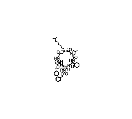 CC(C)CCCCCC[C@H]1OC(=O)CNC(=O)[C@H](C(C)OCc2ccccc2)NC(=O)[C@H](CNC(=O)OCc2ccccc2)NC(=O)[C@H](C2CCCCC2)NC(=O)[C@H](CC(C)C)N(C)C(=O)[C@@H]1C